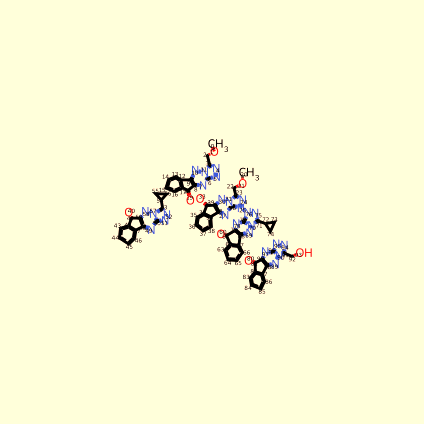 COCc1nnc2nc3c(nn12)-c1ccccc1C3=O.COCc1nnc2nc3c(nn12)C(=O)c1ccccc1-3.O=C1c2ccccc2-c2nc3nnc(C4CC4)n3nc21.O=C1c2ccccc2-c2nn3c(C4CC4)nnc3nc21.O=C1c2ccccc2-c2nn3c(CO)nnc3nc21